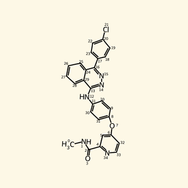 CNC(=O)c1cc(Oc2ccc(Nc3nnc(-c4ccc(Cl)cc4)c4ccccc34)cc2)ccn1